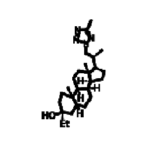 CC[C@@]1(O)CC[C@@]2(C)[C@H](CC[C@@H]3[C@@H]2CC[C@]2(C)[C@@H]([C@H](C)Cn4nnc(C)n4)CC[C@@H]32)C1